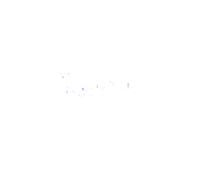 CS(=O)(=O)c1ccc(Nc2nc3ccc(-c4ccc(NC(=O)Cc5ccc(F)cc5)cc4)cn3n2)c(OCC(F)(F)F)c1